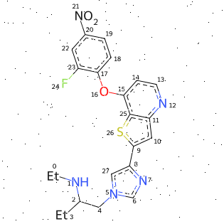 CCNC(CC)Cn1cnc(-c2cc3nccc(Oc4ccc([N+](=O)[O-])cc4F)c3s2)c1